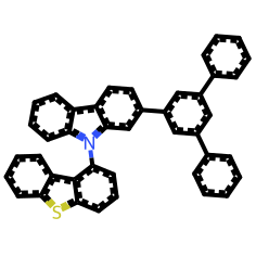 c1ccc(-c2cc(-c3ccccc3)cc(-c3ccc4c5ccccc5n(-c5cccc6sc7ccccc7c56)c4c3)c2)cc1